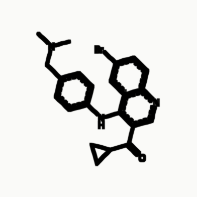 CN(C)Cc1ccc(Nc2c(C(=O)C3CC3)cnc3ccc(Br)cc23)cc1